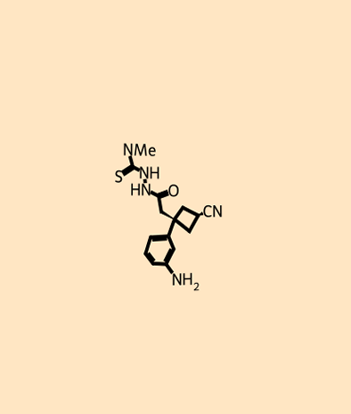 CNC(=S)NNC(=O)C[C@]1(c2cccc(N)c2)C[C@H](C#N)C1